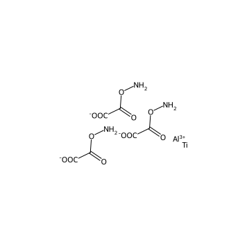 NOC(=O)C(=O)[O-].NOC(=O)C(=O)[O-].NOC(=O)C(=O)[O-].[Al+3].[Ti]